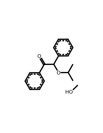 CC(C)OC(C(=O)c1ccccc1)c1ccccc1.CO